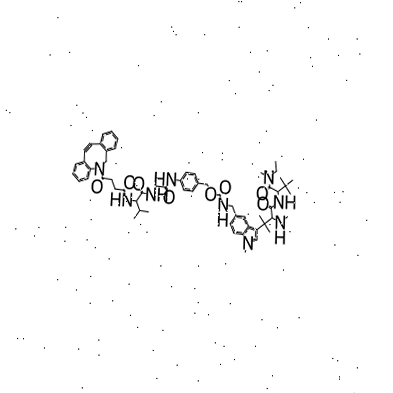 CCN(C)C(=O)C(NC(=O)C(NC)C(C)(C)c1cn(C)c2ccc(CNC(=O)OCc3ccc(NC(=O)CNC(=O)C(NC(=O)CCC(=O)N4Cc5ccccc5C#Cc5ccccc54)C(C)C)cc3)cc12)C(C)(C)C